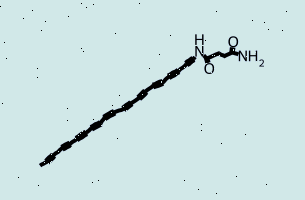 CC#CC#CC#CC#CC#CC#CC#CC#CC#CC#CNC(=O)CCC(N)=O